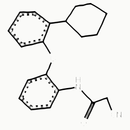 N#CCC(=O)Nc1ccccc1Oc1ccccc1C1CCCCC1